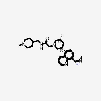 C/N=C\c1ccc([C@H]2C[C@@H](C)CN(CC(=O)NCC3CCN(C)CC3)C2)c2cccnc12